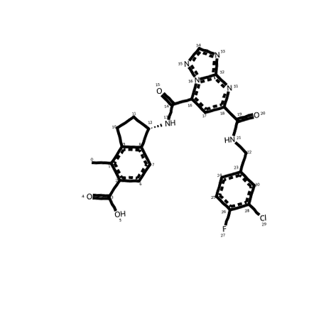 Cc1c(C(=O)O)ccc2c1CC[C@@H]2NC(=O)c1cc(C(=O)NCc2ccc(F)c(Cl)c2)nc2ncnn12